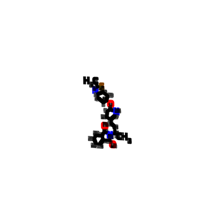 Cc1nc2ccc(Oc3ccc(/C=C/[C@H](C)N4C(=O)c5ccccc5C4=O)cn3)cc2s1